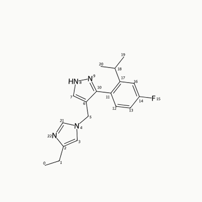 CCc1cn(Cc2c[nH]nc2-c2ccc(F)cc2C(C)C)cn1